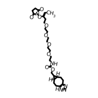 CC=C(CCOCCOCCOCCOCCNC(=O)OCC1[C@H]2CCc3nn[nH]c3CC[C@@H]12)ON1C(=O)CCC1=O